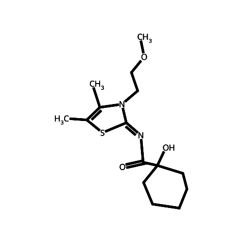 COCCn1c(C)c(C)s/c1=N\C(=O)C1(O)CCCCC1